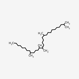 [CH2]C(CCCCC(C)CCCCCCCCC(C)C)C(C)CCCC(C)CCCCCCCC